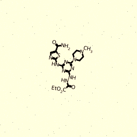 CCOC(=O)C(=O)NNc1nc(Nc2ncc(C(N)=O)s2)nc(N2CCN(C)CC2)n1